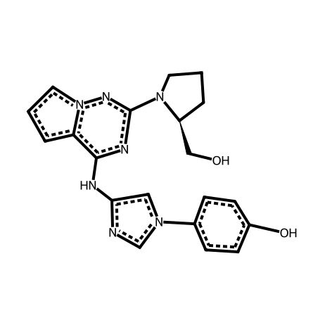 OC[C@@H]1CCCN1c1nc(Nc2cn(-c3ccc(O)cc3)cn2)c2cccn2n1